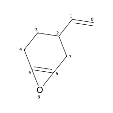 C=CC1CCC2=C(C1)O2